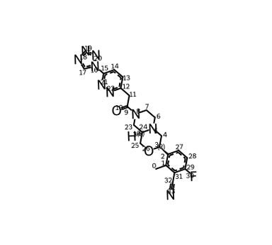 Cc1c([C@@H]2CN3CCN(C(=O)Cc4ccc(-n5cnnn5)nn4)C[C@@H]3CO2)ccc(F)c1C#N